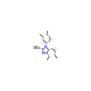 C=C/C=C\C(=C/C=C)n1c(C(C)(C)C)nc(C=C)c1/C=C\C=C